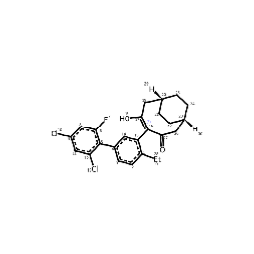 CCc1ccc(-c2c(F)cc(Cl)cc2Cl)cc1/C1=C(\O)C[C@H]2CC[C@H](CC2)CC1=O